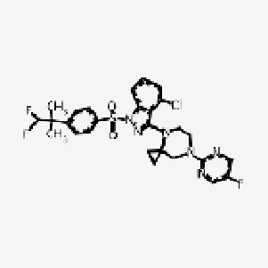 CC(C)(c1ccc(S(=O)(=O)n2nc(N3CCN(c4ncc(F)cn4)CC34CC4)c3c(Cl)cccc32)cc1)C(F)F